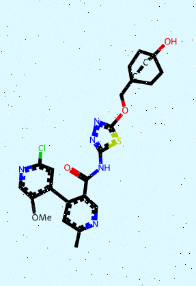 COc1cnc(Cl)cc1-c1cc(C)ncc1C(=O)Nc1nnc(OCC23CCC(O)(CC2)CC3)s1